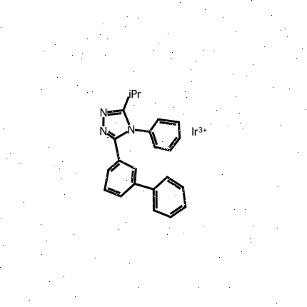 CC(C)c1nnc(-c2cccc(-c3ccccc3)c2)n1-c1ccccc1.[Ir+3]